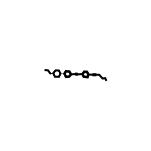 CCCCC#Cc1ccc(C#Cc2ccc([C@H]3CC[C@H](CCC)CC3)cc2)cc1